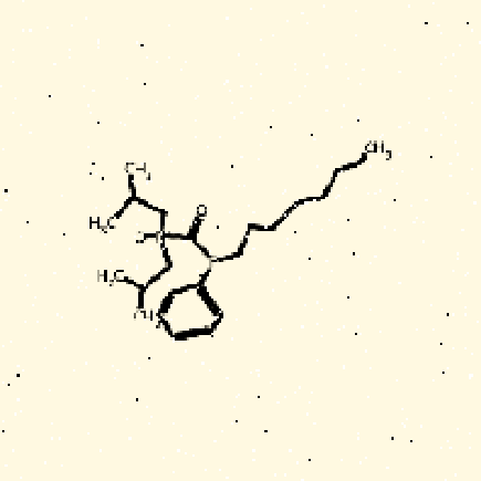 CCCCCCCCP(C(=O)[N+]([O-])(CC(C)C)CC(C)C)c1ccccc1